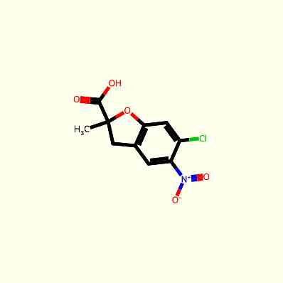 CC1(C(=O)O)Cc2cc([N+](=O)[O-])c(Cl)cc2O1